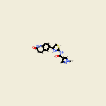 CCn1cc(C(=O)Nc2nc(-c3ccc4c(c3)CCC(=O)N4)cs2)cn1